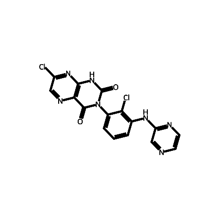 O=c1[nH]c2nc(Cl)cnc2c(=O)n1-c1cccc(Nc2cnccn2)c1Cl